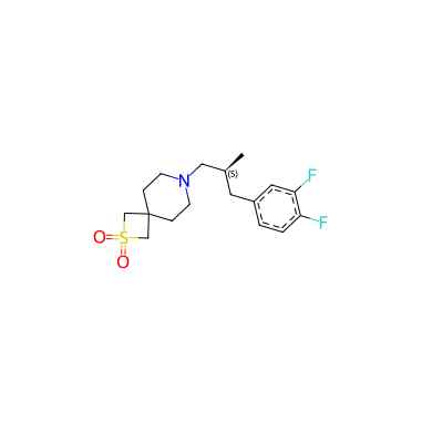 C[C@@H](Cc1ccc(F)c(F)c1)CN1CCC2(CC1)CS(=O)(=O)C2